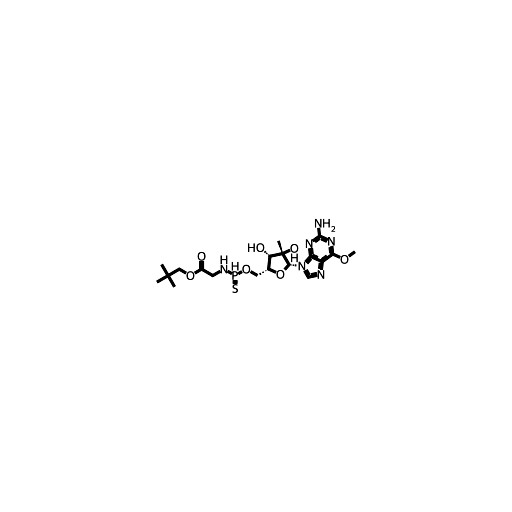 COc1nc(N)nc2c1ncn2[C@@H]1O[C@H](CO[PH](=S)NCC(=O)OCC(C)(C)C)[C@H](O)[C@]1(C)O